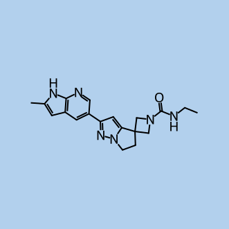 CCNC(=O)N1CC2(CCn3nc(-c4cnc5[nH]c(C)cc5c4)cc32)C1